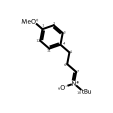 COc1ccc(CCC=[N+]([O-])C(C)(C)C)cc1